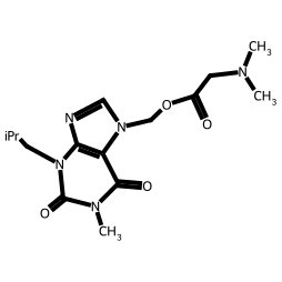 CC(C)Cn1c(=O)n(C)c(=O)c2c1ncn2COC(=O)CN(C)C